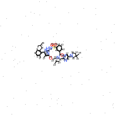 Cc1cccc(CC(C)C)c1-c1nc2nc(c1C)OC[C@@H](C(C)C)N(Cc1ncc(N3CCC(C)(C)C3)cn1)C(=O)c1cccc(c1)S(=O)(=O)N2